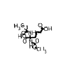 COC(=O)NC(CCCC(=O)O)(NC(=O)OC)C(=O)O